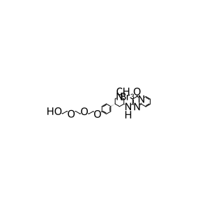 CN1C[C@H](Nc2nc3ccccn3c(=O)c2Br)C[C@H](c2ccc(OCCOCCOCCO)cc2)C1